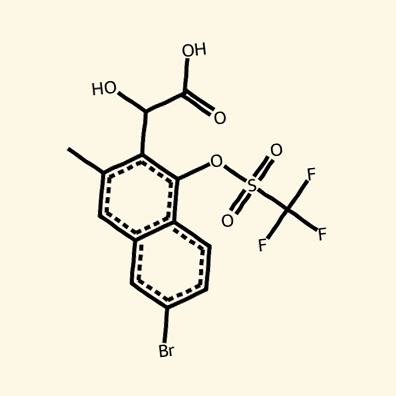 Cc1cc2cc(Br)ccc2c(OS(=O)(=O)C(F)(F)F)c1C(O)C(=O)O